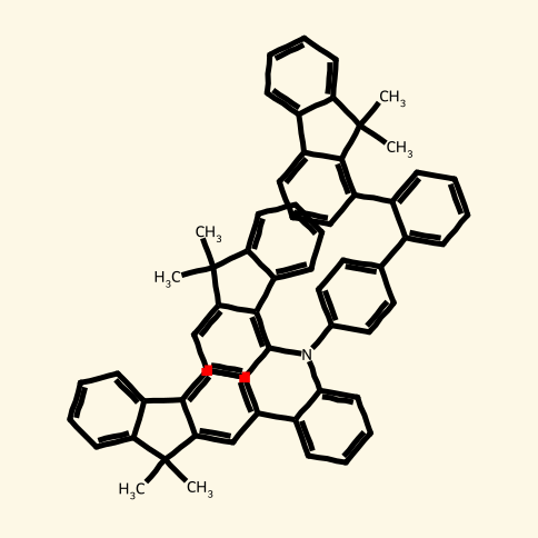 CC1(C)c2ccccc2-c2ccc(-c3ccccc3N(c3ccc(-c4ccccc4-c4cccc5c4C(C)(C)c4ccccc4-5)cc3)c3cccc4c3-c3ccccc3C4(C)C)cc21